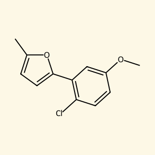 COc1ccc(Cl)c(-c2ccc(C)o2)c1